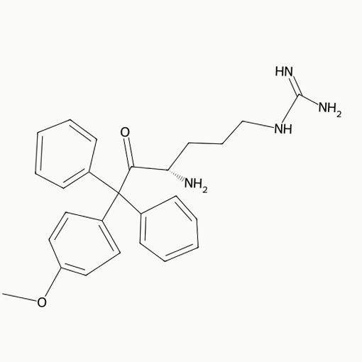 COc1ccc(C(C(=O)[C@@H](N)CCCNC(=N)N)(c2ccccc2)c2ccccc2)cc1